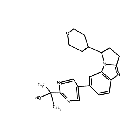 CC(C)(O)c1ncc(-c2ccc3nc4n(c3c2)C(C2CCOCC2)CC4)cn1